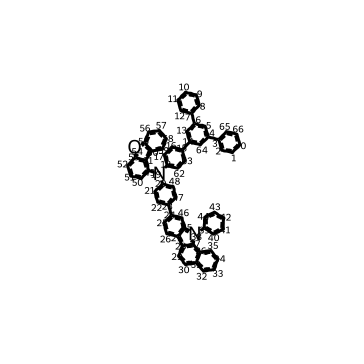 c1ccc(-c2cc(-c3ccccc3)cc(-c3ccc(N(c4ccc(-c5ccc6c7ccc8ccccc8c7n(-c7ccccc7)c6c5)cc4)c4cccc5oc6ccccc6c45)cc3)c2)cc1